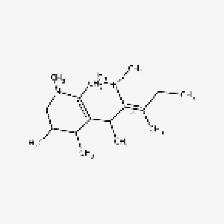 CC/C(C)=C(/C(C)C1=C(C)N(C)CC(C)C1C)N(C)C